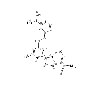 CC(C)c1cc(NCc2cccc(B(O)O)c2)nc(-c2nnc3c(C(N)=O)cccn23)n1